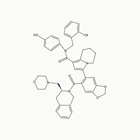 N#Cc1ccccc1CN(C(=O)c1cc(-c2cc3c(cc2C(=O)N2Cc4ccccc4C[C@H]2CN2CCOCC2)OCO3)n2c1CCCC2)c1ccc(O)cc1